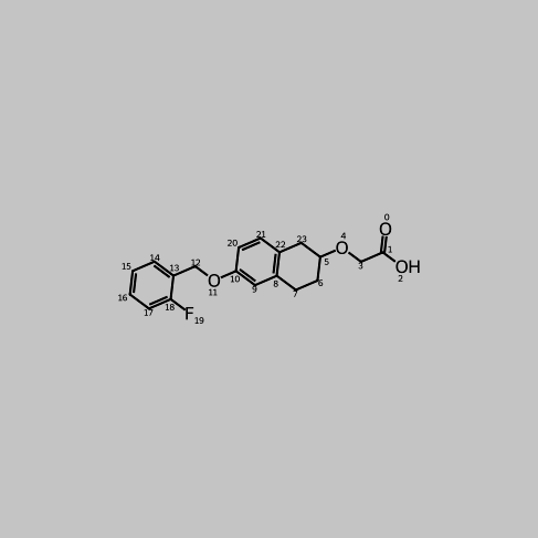 O=C(O)COC1CCc2cc(OCc3ccccc3F)ccc2C1